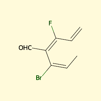 C=C/C(F)=C(C=O)\C(Br)=C/C